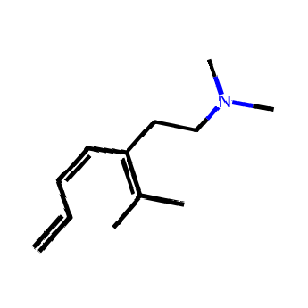 C=C/C=C\C(CCN(C)C)=C(C)C